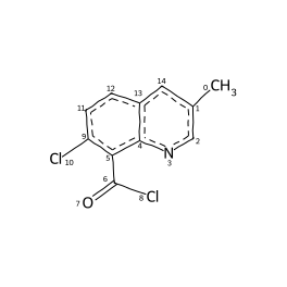 Cc1cnc2c(C(=O)Cl)c(Cl)ccc2c1